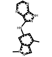 Cc1cc(Nc2n[nH]c3nccnc23)cc2c1cnn2C